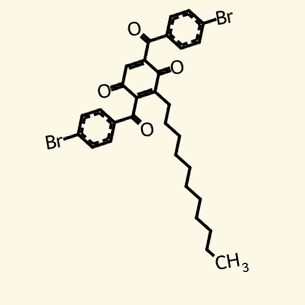 CCCCCCCCCCCC1=C(C(=O)c2ccc(Br)cc2)C(=O)C=C(C(=O)c2ccc(Br)cc2)C1=O